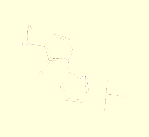 CC(C)Nc1cccn(-c2cccc(C(C)(C)O)n2)c1=O